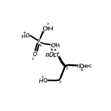 CCCCCCCCCCC(CO)CCCCCCCC.O=P(O)(O)O